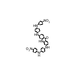 O=c1c2ccc(Nc3ccc(Nc4ccc([N+](=O)[O-])cc4)cc3)cc2[nH]c2cc(Nc3ccc(Nc4ccc([N+](=O)[O-])cc4)cc3)ccc12